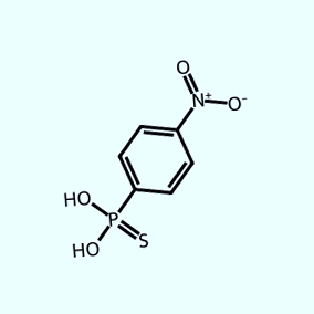 O=[N+]([O-])c1ccc(P(O)(O)=S)cc1